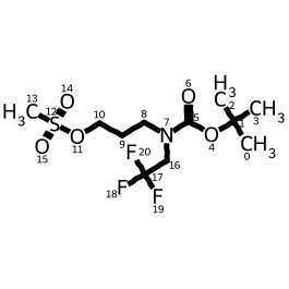 CC(C)(C)OC(=O)N(CCCOS(C)(=O)=O)CC(F)(F)F